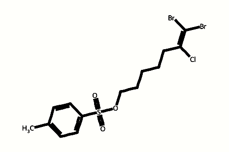 Cc1ccc(S(=O)(=O)OCCCCCC(Cl)=C(Br)Br)cc1